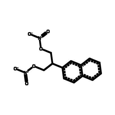 O=[N+]([O-])OCC(CO[N+](=O)[O-])c1ccc2ccccc2c1